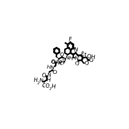 CC[C@@]1(O)C(=O)OCc2c1cc1n(c2=O)Cc2c-1nc1cc(F)c(C)c3c1c2[C@@H](NN(CC=O)C(=O)[C@H](Cc1ccccc1)NC(=O)CNC(=O)CNC(=O)C[C@H](N)C(=O)O)CC3